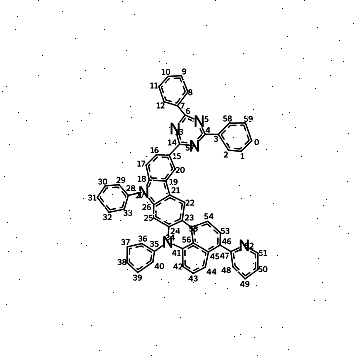 c1ccc(-c2nc(-c3ccccc3)nc(-c3ccc4c(c3)c3cc5c(cc3n4-c3ccccc3)N(c3ccccc3)c3cccc4c(-c6ccccn6)ccc-5c34)n2)cc1